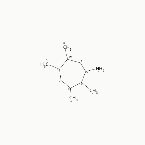 CC1CC(C)C(C)C(N)CC1C